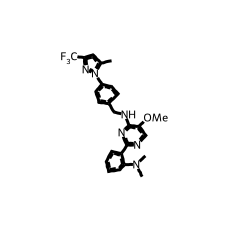 COc1cnc(-c2ccccc2N(C)C)nc1NCc1ccc(-n2nc(C(F)(F)F)cc2C)cc1